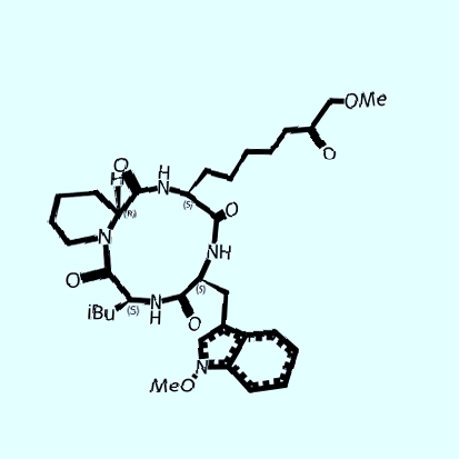 CCC(C)[C@@H]1NC(=O)[C@H](Cc2cn(OC)c3ccccc23)NC(=O)[C@H](CCCCCC(=O)COC)NC(=O)[C@H]2CCCCN2C1=O